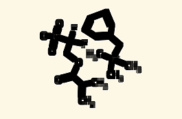 C=C(C)C(=O)OCC(F)(F)S(=O)(=O)[O-].C[N+](C)(C)Cc1ccccc1